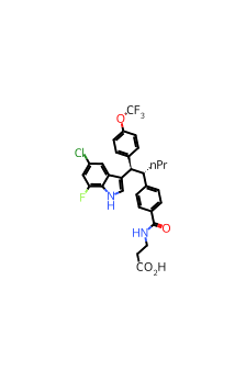 CCC[C@H](c1ccc(C(=O)NCCC(=O)O)cc1)[C@H](c1ccc(OC(F)(F)F)cc1)c1c[nH]c2c(F)cc(Cl)cc12